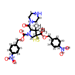 CC1(C)C(C(=O)N2CCNCC2)N(C(=O)OCc2ccc([N+](=O)[O-])cc2)CC1(S)C(=O)OCc1ccc([N+](=O)[O-])cc1